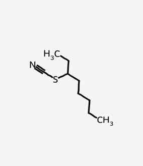 CCCCCC(CC)SC#N